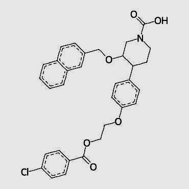 O=C(OCCOc1ccc(C2CCN(C(=O)O)CC2OCc2ccc3ccccc3c2)cc1)c1ccc(Cl)cc1